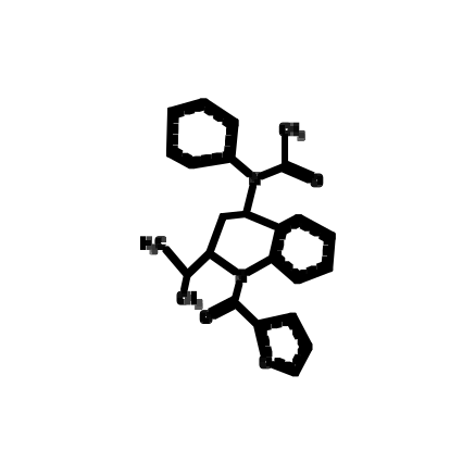 CC(=O)N(c1ccccc1)C1CC(C(C)C)N(C(=O)c2ccco2)c2ccccc21